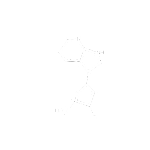 CCc1cc(-c2c[nH]c3ncccc23)sc1C(=O)O